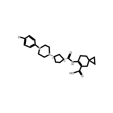 O=C(O)C1=C(NC(=O)[C@@H]2CC[C@H](N3CCN(c4ccc(Cl)cc4)CC3)C2)CCC2(CC2)C1